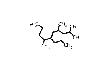 CCCC(C)C(CCC)CC(C)CC(C)C